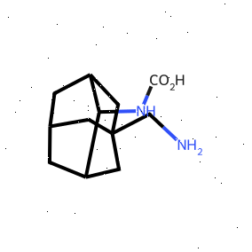 NCC12CC3CC(C1)C(NC(=O)O)C(C3)C2